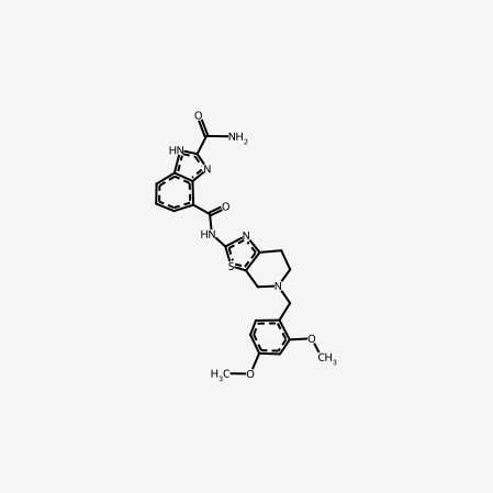 COc1ccc(CN2CCc3nc(NC(=O)c4cccc5[nH]c(C(N)=O)nc45)sc3C2)c(OC)c1